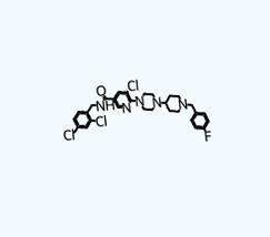 O=C(NCc1ccc(Cl)cc1Cl)c1cnc(N2CCN(C3CCN(Cc4ccc(F)cc4)CC3)CC2)c(Cl)c1